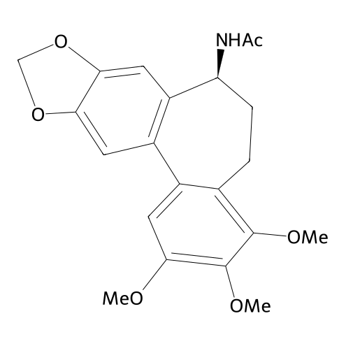 COc1cc2c(c(OC)c1OC)CC[C@H](NC(C)=O)c1cc3c(cc1-2)OCO3